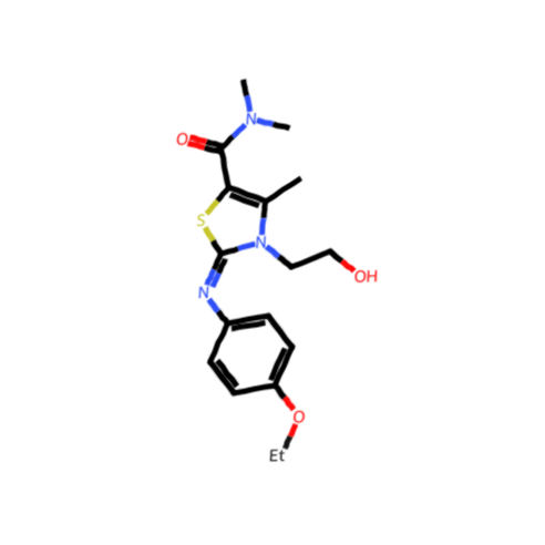 CCOc1ccc(N=c2sc(C(=O)N(C)C)c(C)n2CCO)cc1